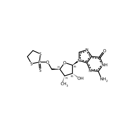 C[C@H]1[C@@H](O)[C@H](n2cnc3c(=O)[nH]c(N)nc32)O[C@@H]1COP1(=S)SCCS1